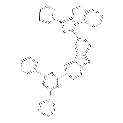 c1ccc(-c2nc(-c3ccccc3)nc(-c3ccc4oc5ccc(-c6cn(-c7ccncc7)c7ccc8ccccc8c67)cc5c4c3)n2)cc1